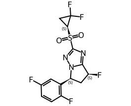 O=S(=O)(c1nc2n(n1)[C@H](c1cc(F)ccc1F)C[C@@H]2F)[C@H]1CC1(F)F